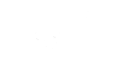 C=C1CCC(N2C(=O)c3cccc(Oc4cccc(C(C)(C)C)c4)c3C2=O)C(=O)N1